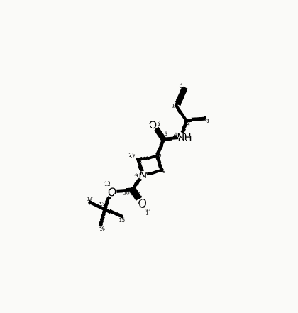 C=CC(C)NC(=O)C1CN(C(=O)OC(C)(C)C)C1